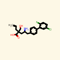 C=CCC(CO)(CC(N)Cc1ccc(-c2cc(Cl)ccc2F)cc1)C(=O)O